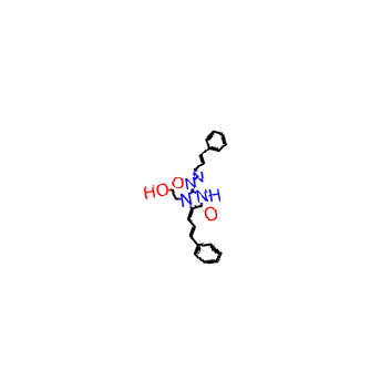 O=C(O)CN1C(=CC=Cc2ccccc2)C(=O)NC1=NN=CC=Cc1ccccc1